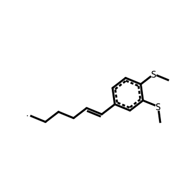 [CH2]CCCC=Cc1ccc(SC)c(SC)c1